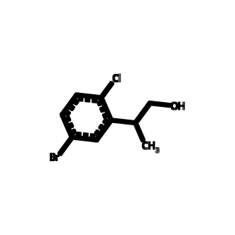 C[C](CO)c1cc(Br)ccc1Cl